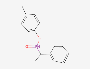 Cc1ccc(O[PH](=O)C(C)c2ccccc2)cc1